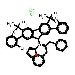 Cc1ccccc1-c1cc2c(cc1C(C)(C)C)-c1cc(C(C)(C)C)c(-c3ccccc3C)cc1[CH]2[Zr+2]([C]1=CC=CC1)=[C](Cc1ccccc1)Cc1ccccc1.[Cl-].[Cl-]